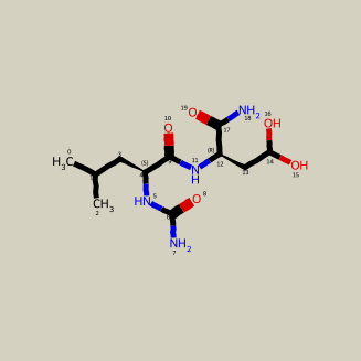 CC(C)C[C@H](NC(N)=O)C(=O)N[C@H](CC(O)O)C(N)=O